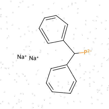 [Na+].[Na+].[P-2]C(c1ccccc1)c1ccccc1